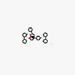 N#Cc1ccc2c(c1)c1ccccc1n2-c1ccc(-c2ccc(-n3c4cc(C#N)ccc4c4cccc(-n5c6ccccc6c6ccccc65)c43)cc2)cc1C#N